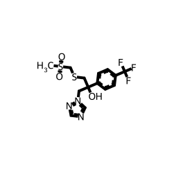 CS(=O)(=O)CSCC(O)(Cn1cncn1)c1ccc(C(F)(F)F)cc1